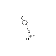 C=Cc1ccc(CCOCN(CC)CC)cc1